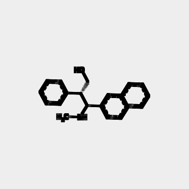 CNC(c1ccc2ccccc2c1)[C@@H](CO)c1ccccc1